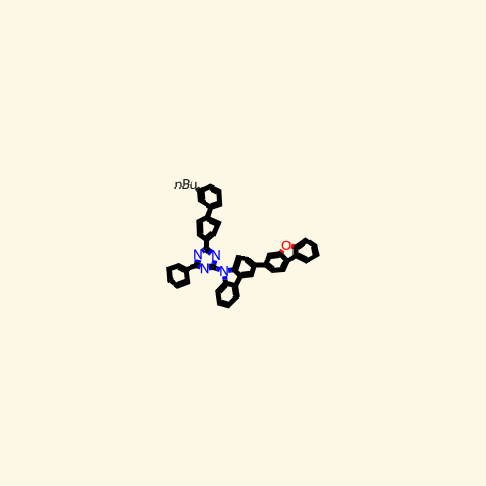 CCCCc1cccc(-c2ccc(-c3nc(-c4ccccc4)nc(-n4c5ccccc5c5cc(-c6ccc7c(c6)oc6ccccc67)ccc54)n3)cc2)c1